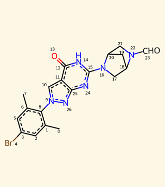 Cc1cc(Br)cc(C)c1-n1cc2c(=O)[nH]c(N3CC4CC3CN4C=O)nc2n1